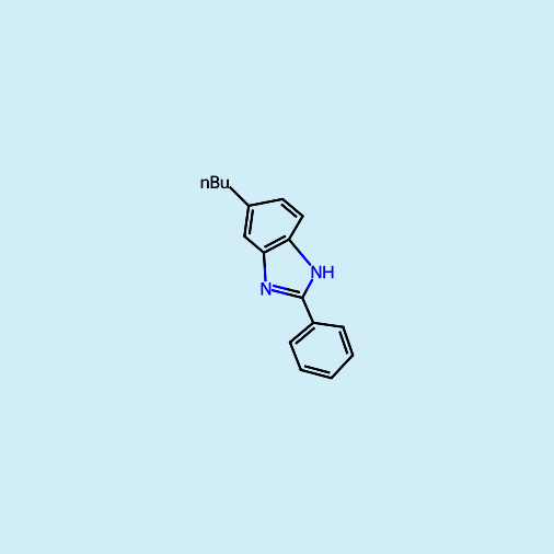 CCCCc1ccc2[nH]c(-c3ccccc3)nc2c1